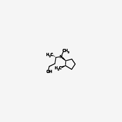 C[C@@H]1CCC[C@@H]1N(C)[C@@H](C)CCO